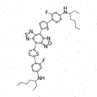 CCCCC(CC)Nc1ccc(-c2ccc(-c3c4c(c(-c5ccc(-c6ccc(NC(CC)CCCC)cc6F)s5)c5nonc35)N=S=N4)s2)c(F)c1